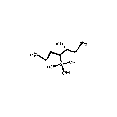 NCCC(CCN)[Si](O)(O)O.[SiH4]